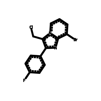 Fc1ccc(-c2nc3c(Br)cccn3c2CCl)cc1